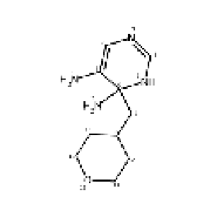 NC1=CN=CNC1(N)CC1CCOCC1